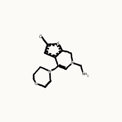 NCN1C=C(N2CCOCC2)c2cc(Cl)sc2C1